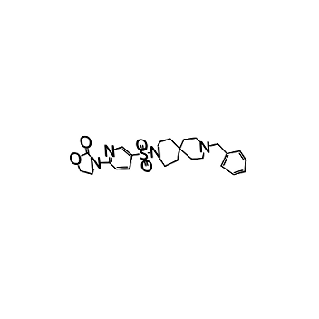 O=C1OCCN1c1ccc(S(=O)(=O)N2CCC3(CCN(Cc4ccccc4)CC3)CC2)cn1